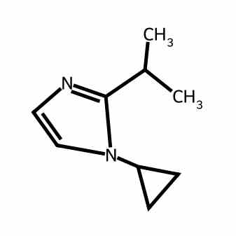 CC(C)c1nccn1C1CC1